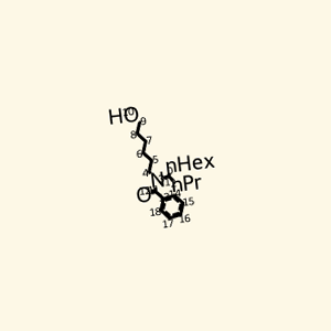 CCCCCCC(CCC)N(CCCCCCO)C(=O)c1ccccc1